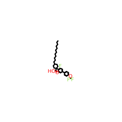 CCCCCCCCCCCCC1CCC(C(=O)O)(c2ccc(-c3ccc(OC(F)F)cc3)cc2F)CC1